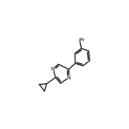 CC(C)c1cccc(-c2cnc(C3CC3)cn2)c1